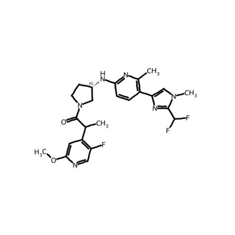 COc1cc(C(C)C(=O)N2CC[C@H](Nc3ccc(-c4cn(C)c(C(F)F)n4)c(C)n3)C2)c(F)cn1